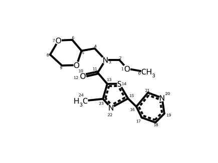 COCN(CC1COCCO1)C(=O)c1sc(-c2cccnc2)nc1C